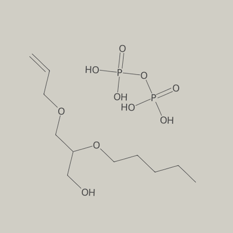 C=CCOCC(CO)OCCCCC.O=P(O)(O)OP(=O)(O)O